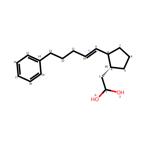 OC(O)C[C@H]1CCCC1/C=C/CCCc1ccccc1